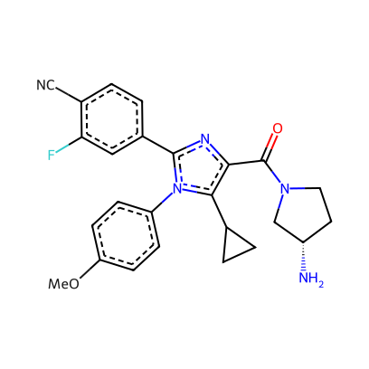 COc1ccc(-n2c(-c3ccc(C#N)c(F)c3)nc(C(=O)N3CC[C@H](N)C3)c2C2CC2)cc1